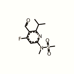 CC(C)c1nc(N(C)S(C)(=O)=O)cc(F)c1C=O